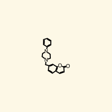 O=c1ccc2ccc(CN3CCN(c4ccccc4)CC3)cc2o1